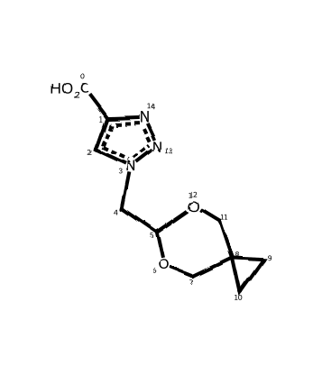 O=C(O)c1cn(CC2OCC3(CC3)CO2)nn1